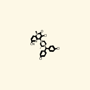 C[C@@H]1CN(c2c(Cl)c(=O)n(C)c3ccc(C#N)nc23)CCN1C(c1ccc(Cl)cc1)c1ccc(Cl)cc1